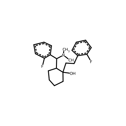 CN(C)C(c1ccccc1F)C1CCCCC1(O)CCc1ccccc1F